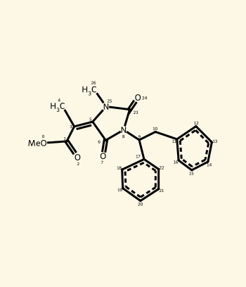 COC(=O)C(C)=C1C(=O)N(C(Cc2ccccc2)c2ccccc2)C(=O)N1C